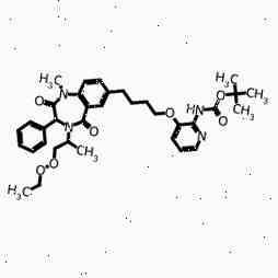 CCOOCC(C)N1C(=O)c2cc(CCCCOc3cccnc3NC(=O)OC(C)(C)C)ccc2N(C)C(=O)C1c1ccccc1